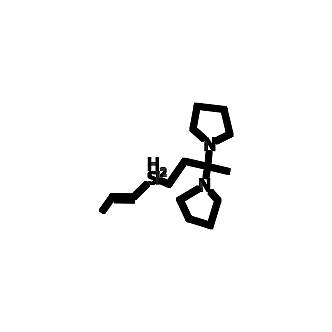 CC=C[SiH2]CCC(C)(N1CCCC1)N1CCCC1